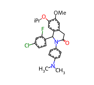 COc1cc2c(cc1OC(C)C)C(c1ccc(Cl)cc1F)N(c1ccc(N(C)C)cc1)C(=O)C2